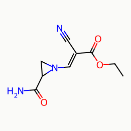 CCOC(=O)/C(C#N)=C/N1CC1C(N)=O